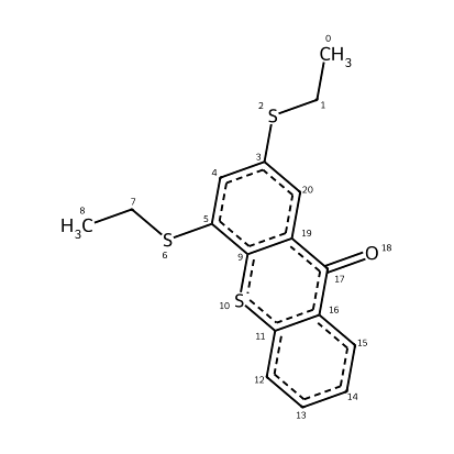 CCSc1cc(SCC)c2sc3ccccc3c(=O)c2c1